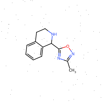 Cc1noc(C2NCCc3ccccc32)n1